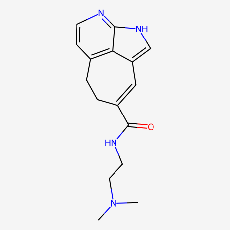 CN(C)CCNC(=O)C1=Cc2c[nH]c3nccc(c23)CC1